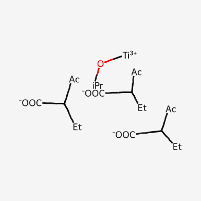 CC(C)[O][Ti+3].CCC(C(C)=O)C(=O)[O-].CCC(C(C)=O)C(=O)[O-].CCC(C(C)=O)C(=O)[O-]